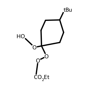 CCOC(=O)OOC1(OO)CCC(C(C)(C)C)CC1